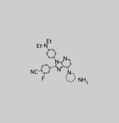 CCN(CC)c1ccc(-n2c(-c3ccc(C#N)c(F)c3)nc3c(N4CCC[C@@H](N)C4)ccnc32)cc1